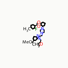 C=C(OC)c1ccc2nc(CN3CCN(c4cccc5c4OC(c4ccc(C)cc4F)CO5)CC3)n(CC3CCO3)c2c1